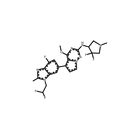 COc1nc(NC2CN(C)CC2(F)F)nn2ccc(-c3cc(F)c4nc(C)n(CC(F)F)c4c3)c12